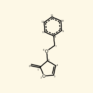 C=C1OC=CC1OCc1ccccc1